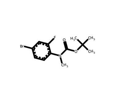 CN(C(=O)OC(C)(C)C)c1ccc(Br)cc1F